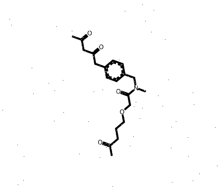 CC(=O)CCCOCC(=O)N(C)Cc1ccc(CC(=O)CC(C)=O)cc1